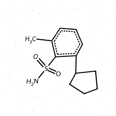 Cc1cccc(C2CCCC2)c1S(N)(=O)=O